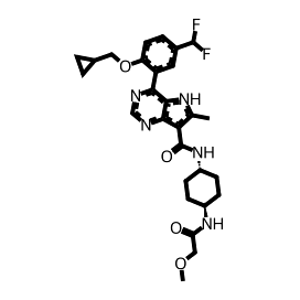 COCC(=O)N[C@H]1CC[C@H](NC(=O)c2c(C)[nH]c3c(-c4cc(C(F)F)ccc4OCC4CC4)ncnc23)CC1